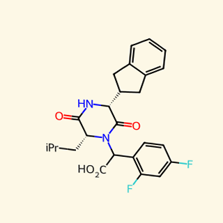 CC(C)C[C@@H]1C(=O)N[C@H](C2Cc3ccccc3C2)C(=O)N1C(C(=O)O)c1ccc(F)cc1F